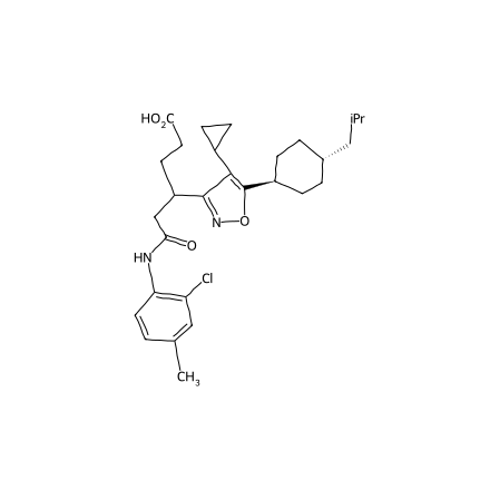 Cc1ccc(NC(=O)CC(CCC(=O)O)c2noc([C@H]3CC[C@H](CC(C)C)CC3)c2C2CC2)c(Cl)c1